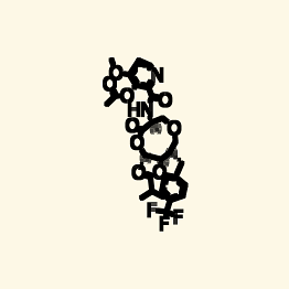 COc1ccnc(C(=O)N[C@H]2COC[C@H](Cc3ccc(C(F)(F)F)cc3)[C@@H](OC(=O)C(C)C)[C@H](C)OC2=O)c1OC(C)=O